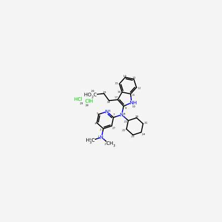 CN(C)c1ccnc(N(c2[nH]c3ccccc3c2CCC(=O)O)C2CCCCC2)c1.Cl.Cl